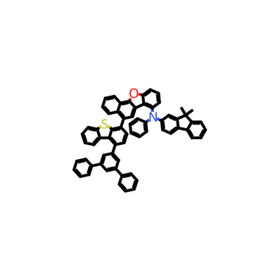 CC1(C)c2ccccc2-c2ccc(N(c3ccccc3)c3cccc4oc5c6ccccc6c(-c6ccc(-c7cc(-c8ccccc8)cc(-c8ccccc8)c7)c7c6sc6ccccc67)cc5c34)cc21